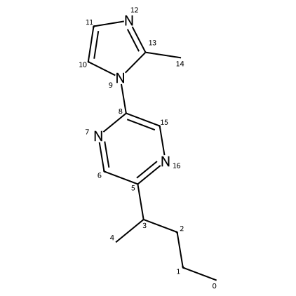 CCCC(C)c1cnc(-n2ccnc2C)cn1